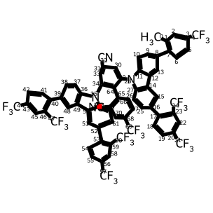 Cc1cc(C(F)(F)F)ccc1-c1ccc2c(c1)c1cc(-c3ccc(C(F)(F)F)cc3C(F)(F)F)ccc1n2-c1cc(C#N)cc(-n2c3ccc(-c4ccc(C(F)(F)F)cc4C(F)(F)F)cc3c3cc(-c4ccc(C(F)(F)F)cc4C(F)(F)F)ccc32)c1-c1ccc(C(F)(F)F)cc1C#N